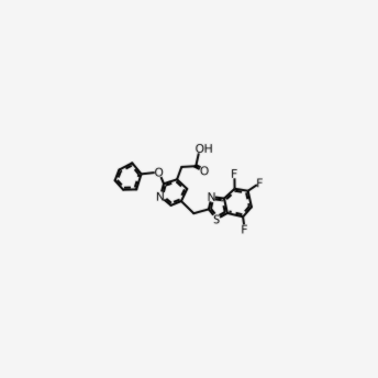 O=C(O)Cc1cc(Cc2nc3c(F)c(F)cc(F)c3s2)cnc1Oc1ccccc1